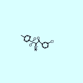 Cc1ccc(S(=O)(=O)C(=[N+]=[N-])C(=O)c2cccc(Cl)c2)cc1